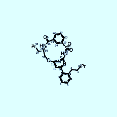 CC(C)CCc1ccccc1-c1cc2nc(n1)NS(=O)(=O)c1cccc(c1)C(=O)N[C@H](CC(C)C)CO2